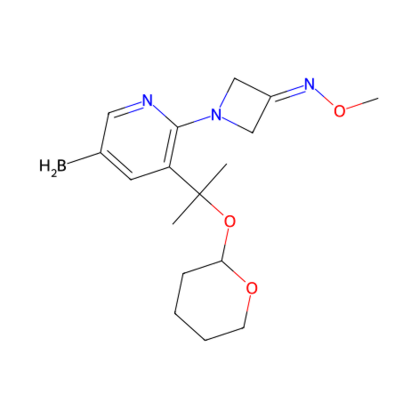 Bc1cnc(N2CC(=NOC)C2)c(C(C)(C)OC2CCCCO2)c1